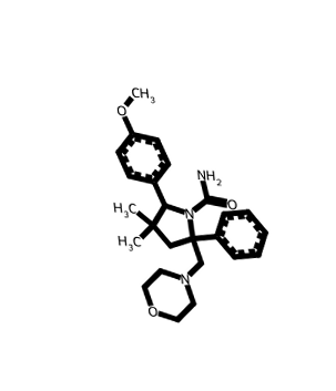 COc1ccc(C2N(C(N)=O)C(CN3CCOCC3)(c3ccccc3)CC2(C)C)cc1